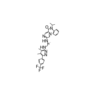 Cc1c(NC[C@@H](C)Nc2cnc(C(=O)N(c3ccccc3)C(C)C)cn2)nnc(-c2ccc(C(F)(F)F)cc2)c1C